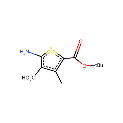 Cc1c(C(=O)OC(C)(C)C)sc(N)c1C(=O)O